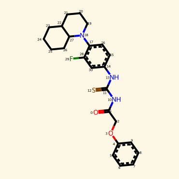 O=C(COc1ccccc1)NC(=S)Nc1ccc(N2CCCC3CCCCC32)c(F)c1